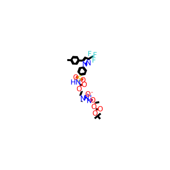 Cc1ccc(-c2cc(C(F)(F)F)nn2-c2ccc(S(=O)(=O)NC(=O)OCCN(C)/[N+]([O-])=N/OC(C)OC(=O)OC(C)(C)C)cc2)cc1